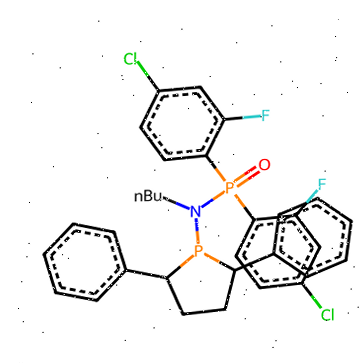 CCCCN(P1C(c2ccccc2)CCC1c1ccccc1)P(=O)(c1ccc(Cl)cc1F)c1ccc(Cl)cc1F